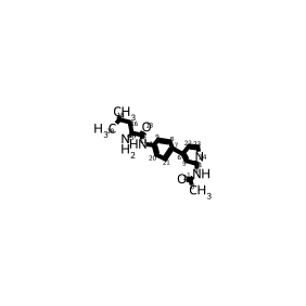 CC(=O)Nc1cc(-c2ccc(NC(=O)[C@H](N)CC(C)C)cc2)ccn1